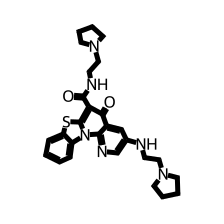 O=C(NCCN1CCCC1)c1c(=O)c2cc(NCCN3CCCC3)cnc2n2c1sc1ccccc12